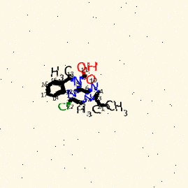 CC(C)c1cnc2c(N(C(=O)O)[C@@H](C)c3ccccc3)nc(Cl)cn12